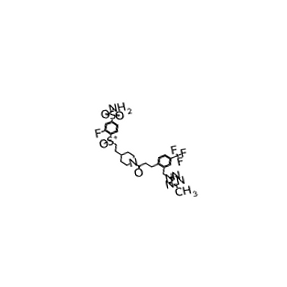 Cc1nnn(Cc2cc(C(F)(F)F)ccc2CCC(=O)N2CCC(CC[S+]([O-])c3ccc(S(N)(=O)=O)cc3F)CC2)n1